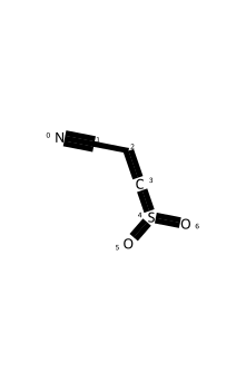 N#CC=C=S(=O)=O